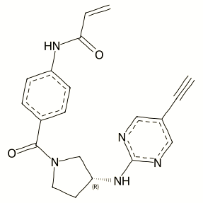 C#Cc1cnc(N[C@@H]2CCN(C(=O)c3ccc(NC(=O)C=C)cc3)C2)nc1